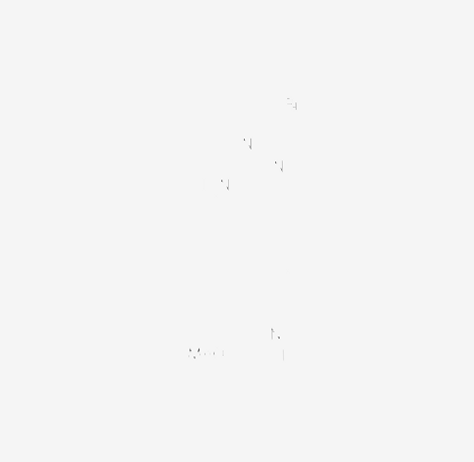 CCN(CCCC1CCC(C(N)c2ncc(Br)cn2)CC1)CCOC